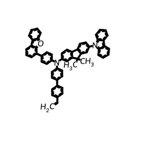 C=Cc1ccc(-c2ccc(N(c3ccc(-c4cccc5c4oc4ccccc45)cc3)c3ccc4c(c3)C(C)(C)c3cc(-n5c6ccccc6c6ccccc65)ccc3-4)cc2)cc1